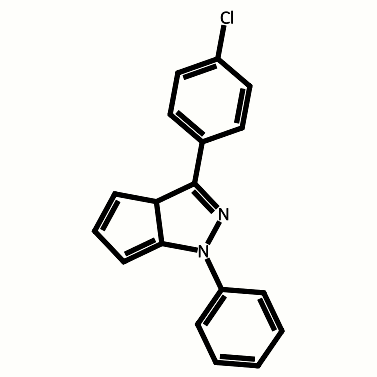 Clc1ccc(C2=NN(c3ccccc3)C3=CC=CC32)cc1